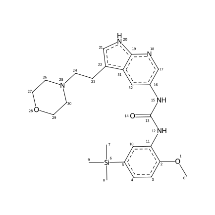 COc1ccc([Si](C)(C)C)cc1NC(=O)Nc1cnc2[nH]cc(CCN3CCOCC3)c2c1